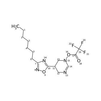 CCCCCCCc1noc(C2CN=CN(OC(=O)C(F)(F)F)C2)n1